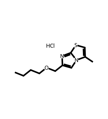 CCCCOCc1cn2c(C)csc2n1.Cl